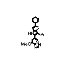 COc1cc(-c2[nH]c3cc(C4CCCCC4)sc3c2C(C)C)cn2ncnc12